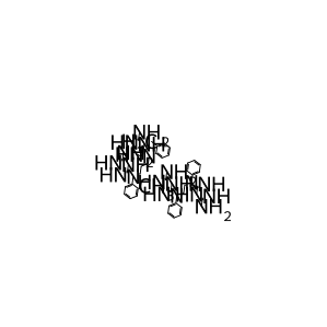 Cc1ccccc1N(CCCN(C(=N)NC(=N)N)c1ccccc1C)C(=N)NC(=N)N.N=C(N)NC(=N)N(CCN(C(=N)NC(=N)N)c1ccccc1)c1ccccc1